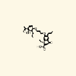 CCCc1cc2c(=O)cc(C(=O)O)n(CC)c2cc1OCCCOc1ccc(C(C)=O)c(O)c1CCC